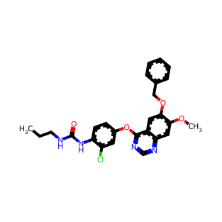 CCCNC(=O)Nc1ccc(Oc2ncnc3cc(OC)c(OCc4ccccc4)cc23)cc1Cl